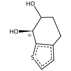 OC1CCc2ccsc2[C@H]1O